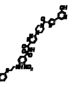 O=C(NS(=O)(=O)c1ccc(NCCSc2ccccc2)c([N+](=O)[O-])c1)c1ccc(N2CCN(C(=O)c3cc(-c4cncc(O)c4)cs3)CC2)nn1